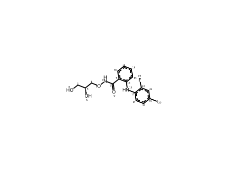 O=C(NOC[C@@H](O)CO)c1ccccc1Nc1ccc(I)cc1F